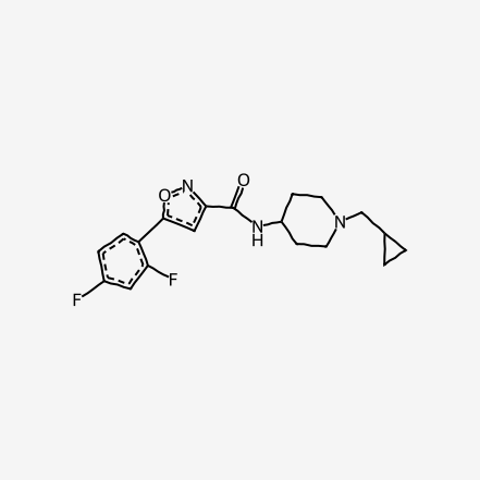 O=C(NC1CCN(CC2CC2)CC1)c1cc(-c2ccc(F)cc2F)on1